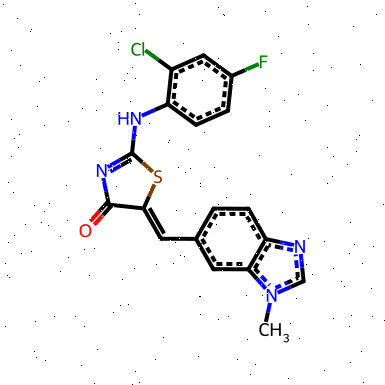 Cn1cnc2ccc(/C=C3\SC(Nc4ccc(F)cc4Cl)=NC3=O)cc21